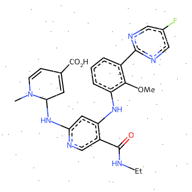 CCNC(=O)c1cnc(NC2C=C(C(=O)O)C=CN2C)cc1Nc1cccc(-c2ncc(F)cn2)c1OC